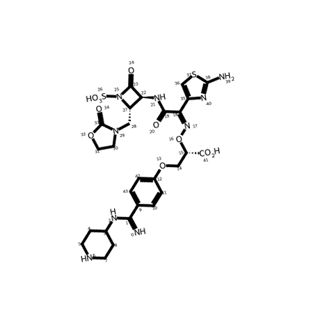 N=C(NC1CCNCC1)c1ccc(OC[C@H](ON=C(C(=O)N[C@@H]2C(=O)N(S(=O)(=O)O)[C@H]2CN2CCOC2=O)c2csc(N)n2)C(=O)O)cc1